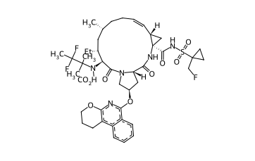 CC[C@@H]1C[C@H](C)CC/C=C\[C@@H]2C[C@@]2(C(=O)NS(=O)(=O)C2(CF)CC2)NC(=O)[C@@H]2C[C@@H](Oc3nc4c(c5ccccc35)CCCO4)CN2C(=O)[C@H]1N(C(=O)O)C(C)(C)C(C)(F)F